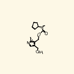 CN(C(=O)OCc1c(CO)cnn1C)C1CCCC1